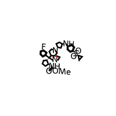 COC(=O)N[C@H]1CCC[C@@H]1C(CN1CCC1)(c1cccc(F)c1)C1CCN(C2CCC(Nc3ccc(S(=O)(=O)C4CC4)cc3)C2)CC1